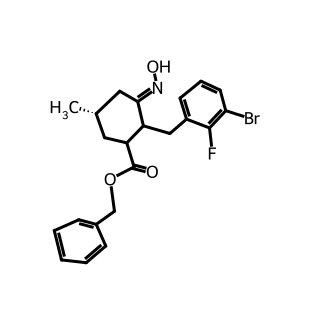 C[C@@H]1C/C(=N\O)C(Cc2cccc(Br)c2F)C(C(=O)OCc2ccccc2)C1